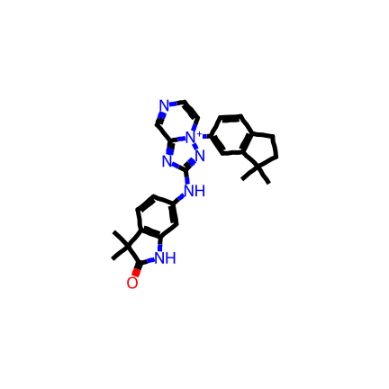 CC1(C)CCc2ccc([N+]34C=CN=CC3=NC(Nc3ccc5c(c3)NC(=O)C5(C)C)=N4)cc21